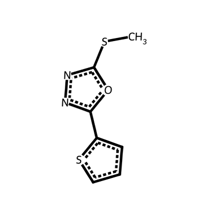 CSc1nnc(-c2cccs2)o1